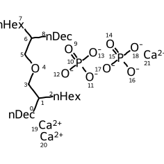 CCCCCCCCCCC(CCCCCC)COCC(CCCCCC)CCCCCCCCCC.O=P([O-])([O-])[O-].O=P([O-])([O-])[O-].[Ca+2].[Ca+2].[Ca+2]